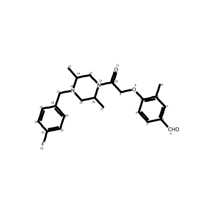 Cc1cc(C=O)ccc1OCC(=O)N1CC(C)N(Cc2ccc(F)cc2)CC1C